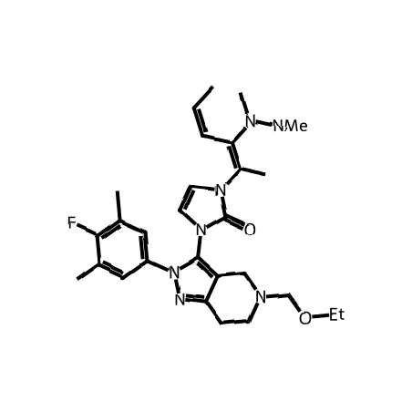 C/C=C\C(=C(\C)n1ccn(-c2c3c(nn2-c2cc(C)c(F)c(C)c2)CCN(COCC)C3)c1=O)N(C)NC